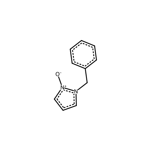 [O-][n+]1cccn1Cc1ccccc1